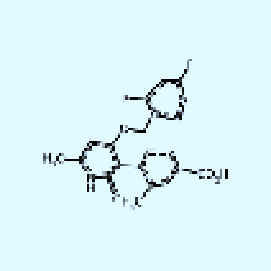 Cc1cc(OCc2ccc(F)cc2F)c(-c2ccc(C(=O)O)cc2C)c(=O)[nH]1